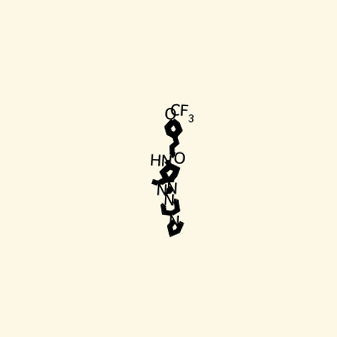 Cc1nc(N2CCC(N3CCCC3)CC2)nc2ccc(NC(=O)CCc3ccc(OC(F)(F)F)cc3)cc12